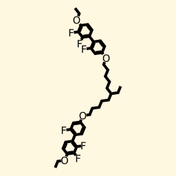 CCOc1ccc(-c2ccc(OCCCCCC(CC)CCCCCOc3ccc(-c4ccc(OCC)c(F)c4F)c(F)c3)cc2F)c(F)c1F